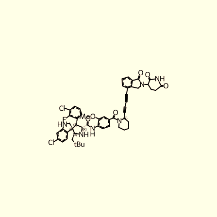 COc1cc(C(=O)N2CCCC[C@@H]2C#CC#Cc2cccc3c2CN(C2CCC(=O)NC2=O)C3=O)ccc1NC(=O)[C@@H]1N[C@@H](CC(C)(C)C)[C@@]2(CNc3cc(Cl)ccc32)[C@H]1c1cccc(Cl)c1F